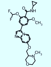 COc1cc(-c2cnc3cc(OCC4COCCN4C)ccn23)cc(OC(F)F)c1C(=O)NC1CC1